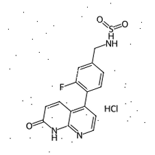 Cl.O=c1ccc2c(-c3ccc(CN[SH](=O)=O)cc3F)ccnc2[nH]1